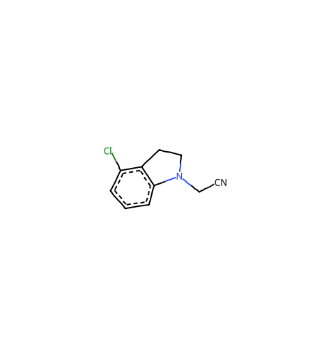 N#CCN1CCc2c(Cl)cccc21